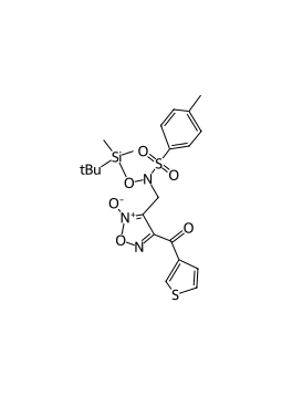 Cc1ccc(S(=O)(=O)N(Cc2c(C(=O)c3ccsc3)no[n+]2[O-])O[Si](C)(C)C(C)(C)C)cc1